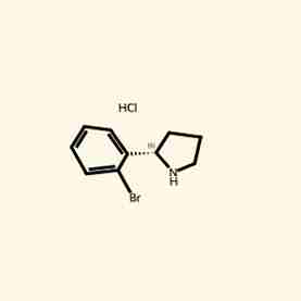 Brc1ccccc1[C@@H]1CCCN1.Cl